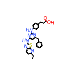 CCc1ccc2nc(Nc3cc(Cc4ccccc4)nc(Nc4ccc(CCC(=O)O)cc4)n3)sc2n1